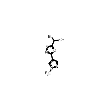 CCCC(CC)c1nnc(-c2cnn(C(F)(F)F)c2)o1